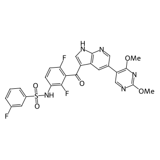 COc1ncc(-c2cnc3[nH]cc(C(=O)c4c(F)ccc(NS(=O)(=O)c5cccc(F)c5)c4F)c3c2)c(OC)n1